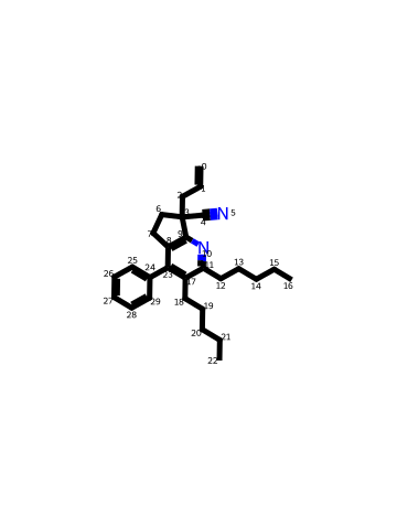 C=CCC1(C#N)CCc2c1nc(CCCCC)c(CCCCC)c2-c1ccccc1